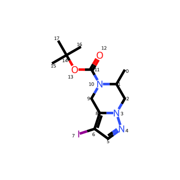 CC1Cn2ncc(I)c2CN1C(=O)OC(C)(C)C